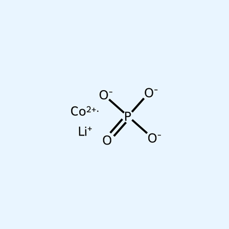 O=P([O-])([O-])[O-].[Co+2].[Li+]